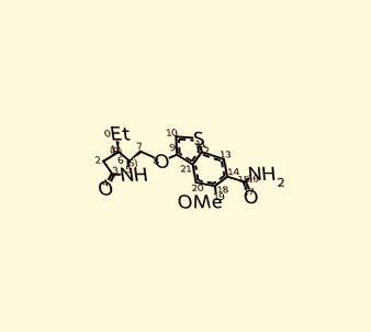 CC[C@@H]1CC(=O)N[C@@H]1COc1csc2cc(C(N)=O)c(OC)cc12